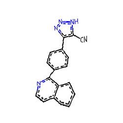 N#Cc1[nH]nnc1-c1ccc(-c2nccc3ccccc23)cc1